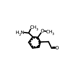 COc1c(CC=O)cccc1C(C)N